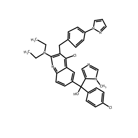 CCN(CC)c1nc2ccc(C(O)(c3ccc(Cl)cc3)c3cncn3C)cc2c(Cl)c1Cc1ccc(-n2cccn2)cc1